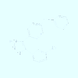 Brc1cccc(-c2nn[nH]c2-c2ccc(Oc3ccccc3)cc2)c1